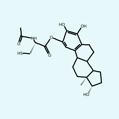 CC(=O)N[C@@H](CS)C(=O)Oc1cc2c(c(O)c1O)CCC1C2CC[C@@]2(C)C1CC[C@@H]2O